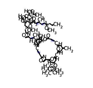 C=CC[C@H](/C=C/C(C)=C/[C@@H](O[Si](C(C)C)(C(C)C)C(C)C)[C@H]1C[C@@H](OC)C[C@](Cc2nc(/C=C(\C)[C@@H]3O[C@@H]4C/C=C/c5nc(co5)[C@H]5C[C@H](O[Si](C)(C)C(C)(C)C)C[C@@H](C[C@H]6CC(=C)C[C@H](C/C=C\C(=O)O[C@@H]([C@H]4C)[C@H]3C)O6)O5)co2)(OC)O1)OC